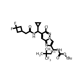 CC(C)(C)OC(=O)N[C@@H](CC(C)(C)C(F)(F)F)c1cn2nc(Cl)c(C(NC(=O)CC3CC(F)(F)C3)C3CC3)cc2n1